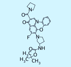 CC(C)(C)OC(=O)NC1CCN(c2c(F)cc3c(=O)c(C(=O)N4CCCC4)cn4c3c2Oc2ccccc2-4)C1